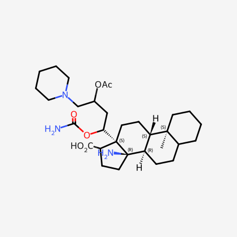 CC(=O)OC(CC(OC(N)=O)[C@]12CC[C@H]3[C@@H](CCC4CCCC[C@@]43C)[C@]1(N)CCC2C(=O)O)CN1CCCCC1